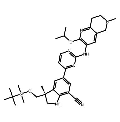 CC(C)Oc1nc2c(cc1Nc1nccc(-c3cc(C#N)c4c(c3)[C@@](C)(CO[Si](C)(C)C(C)(C)C)CN4)n1)CN(C)CC2